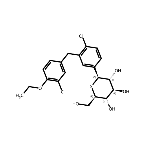 CCOc1ccc(Cc2cc([C@@H]3S[C@H](CO)[C@@H](O)[C@H](O)[C@H]3O)ccc2Cl)cc1Cl